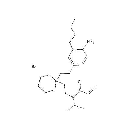 C=CC(=O)N(CC[N+]1(CCc2ccc(N)c(CCCC)c2)CCCCC1)C(C)C.[Br-]